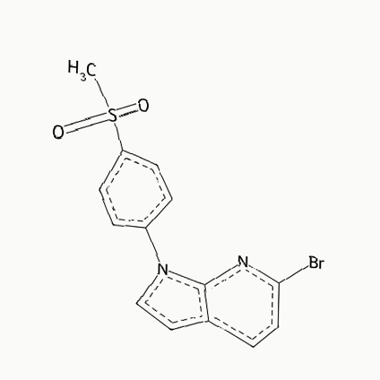 CS(=O)(=O)c1ccc(-n2ccc3ccc(Br)nc32)cc1